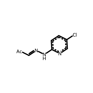 CC(=O)C=NNc1ccc(Cl)cn1